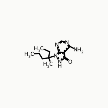 CCCC(C)(CC)n1[nH]c(=O)c2c(N)ncnc21